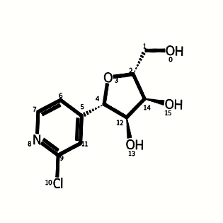 OC[C@H]1O[C@@H](c2ccnc(Cl)c2)[C@H](O)[C@@H]1O